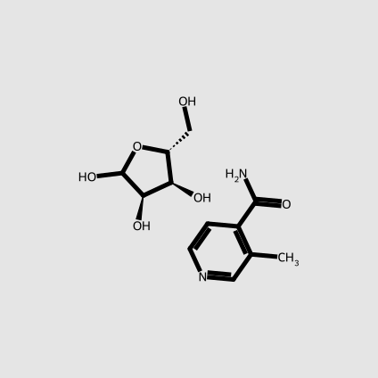 Cc1cnccc1C(N)=O.OC[C@H]1OC(O)[C@H](O)[C@@H]1O